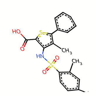 Cc1ccc(S(=O)(=O)Nc2c(C(=O)O)sc(-c3ccccc3)c2C)c(C)c1